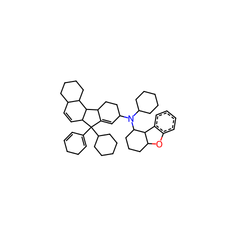 C1=CC(C2(C3CCCCC3)C3=CC(N(C4CCCCC4)C4CCCC5Oc6ccccc6C54)CCC3C3C4CCCCC4C=CC32)=CCC1